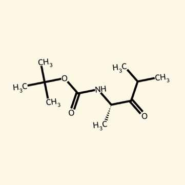 CC(C)C(=O)[C@H](C)NC(=O)OC(C)(C)C